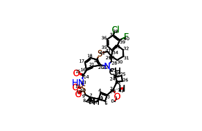 CO[C@H]1C2=C[C@H](C2)[C@H](C)CS(=O)(=O)NC(=O)c2ccc3c(c2)N(C[C@@H]2CC[C@H]21)C[C@@]1(CCCc2c1ccc(Cl)c2F)CS3